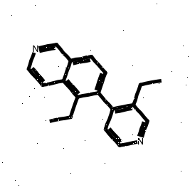 CCc1cnccc1-c1ccc2cnccc2c1CC